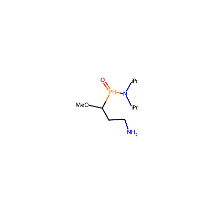 COC(CCN)[PH](=O)N(C(C)C)C(C)C